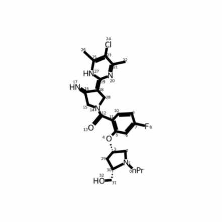 CCCN1C[C@@H](Oc2cc(F)ccc2C(=O)N2CC(=N)/C(=C3/N=C(C)C(Cl)=C(C)N3)C2)C[C@H]1CO